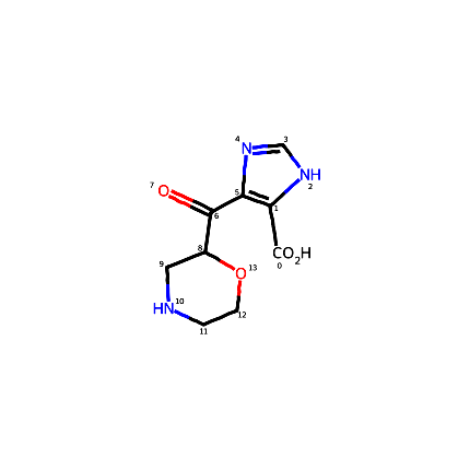 O=C(O)c1[nH]cnc1C(=O)C1CNCCO1